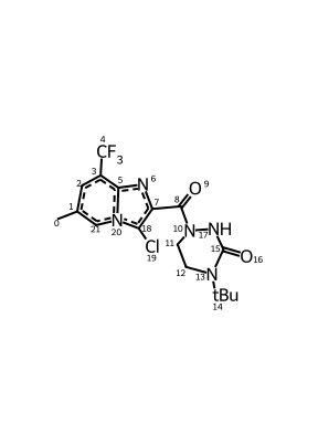 Cc1cc(C(F)(F)F)c2nc(C(=O)N3CCN(C(C)(C)C)C(=O)N3)c(Cl)n2c1